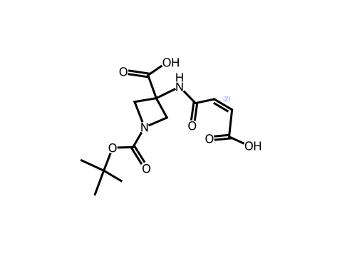 CC(C)(C)OC(=O)N1CC(NC(=O)/C=C\C(=O)O)(C(=O)O)C1